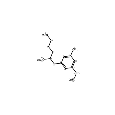 CNCCCC(Cc1cc(C)cc(NC=O)c1)C(=O)O